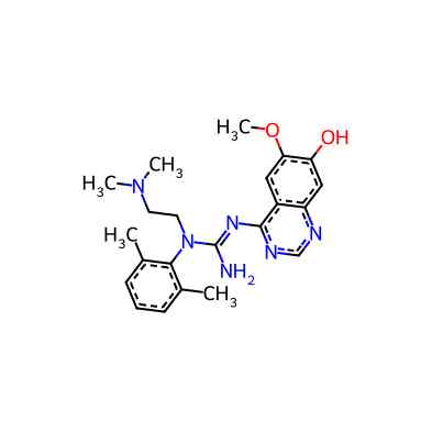 COc1cc2c(/N=C(\N)N(CCN(C)C)c3c(C)cccc3C)ncnc2cc1O